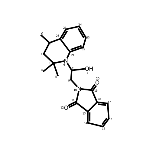 CC1CC(C)(C)N(C(O)CN2C(=O)c3ccccc3C2=O)c2ccccc21